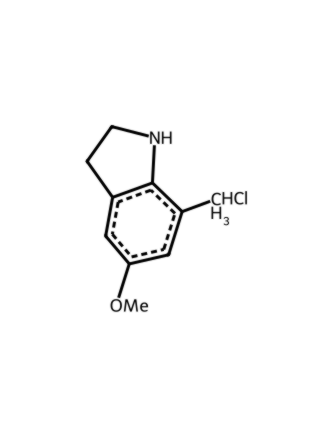 COc1cc(C)c2c(c1)CCN2.Cl